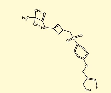 CC(C)(C)C(=O)NC12CC(CS(=O)(=O)c3ccc(OCC(=CF)CN)cc3)(C1)C2